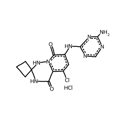 Cl.Nc1ncnc(Nc2cc(Cl)c3n(c2=O)NC2(CCC2)NC3=O)n1